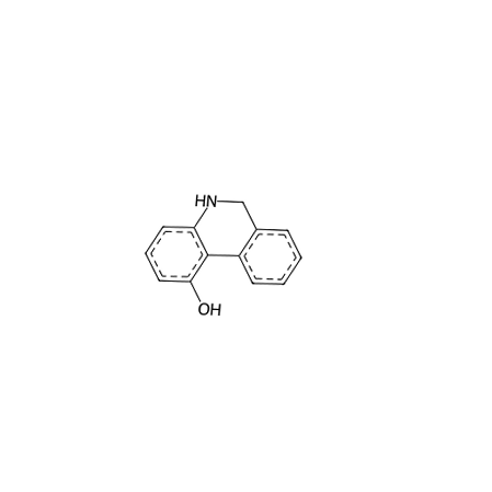 Oc1cccc2c1-c1ccccc1CN2